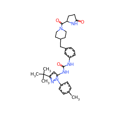 Cc1ccc(-n2nc(C(C)(C)C)cc2NC(=O)Nc2cccc(CC3CCN(C(=O)C4CCC(=O)N4)CC3)c2)cc1